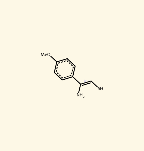 COc1ccc(/C(N)=C/S)cc1